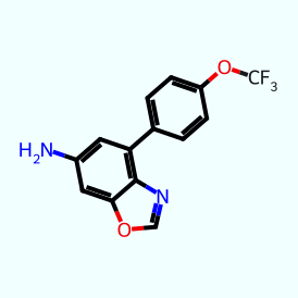 Nc1cc(-c2ccc(OC(F)(F)F)cc2)c2ncoc2c1